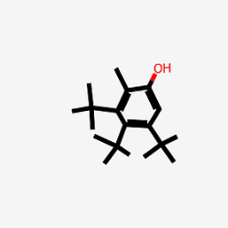 Cc1c(O)cc(C(C)(C)C)c(C(C)(C)C)c1C(C)(C)C